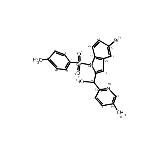 Cc1ccc(S(=O)(=O)n2c(C(O)c3ccc(C)cn3)cc3cc(Br)ccc32)cc1